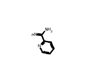 N=C(N)c1ccc[c]n1